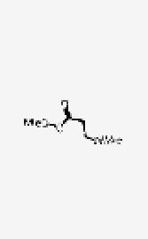 CNCCC(=O)OOC